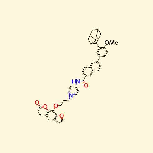 COc1ccc(-c2ccc3cc(C(=O)Nc4cc[n+](CCCOc5c6occc6cc6ccc(=O)oc56)cc4)ccc3c2)cc1C1C2CC3CC(C2)CC1C3